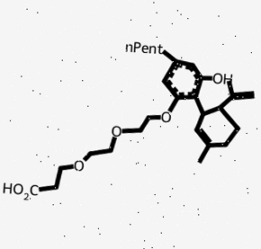 C=C(C)C1CCC(C)=CC1c1c(O)cc(CCCCC)cc1OCCOCCOCCC(=O)O